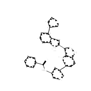 O=C(Nc1cncc(-c2ccc3[nH]nc(-c4cc5c(-c6ccoc6)cccc5[nH]4)c3n2)c1)c1ccccc1